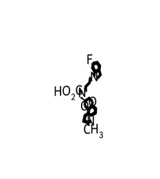 Cc1ccc2c3c(ccc2n1)OC[C@H](CN(CCCCN1CCc2ccc(F)cc21)C(=O)O)O3